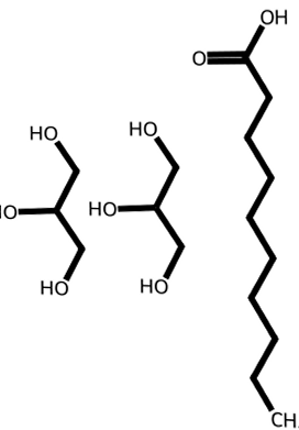 CCCCCCCCCC(=O)O.OCC(O)CO.OCC(O)CO